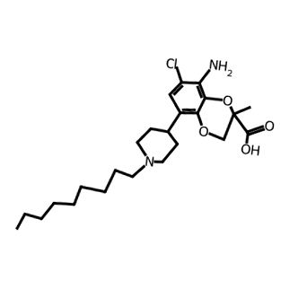 CCCCCCCCCN1CCC(c2cc(Cl)c(N)c3c2OCC(C)(C(=O)O)O3)CC1